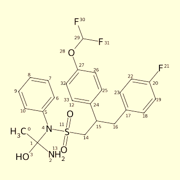 CC(N)(O)N(c1ccccc1)S(=O)(=O)CC(Cc1ccc(F)cc1)c1ccc(OC(F)F)cc1